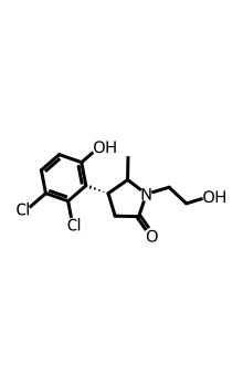 CC1[C@@H](c2c(O)ccc(Cl)c2Cl)CC(=O)N1CCO